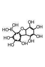 OB(O)c1c(O)c(O)c(O)c2c1OC1C(O)=C(O)C(O)=C(O)C21